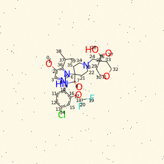 COc1cnn(C2(C(=O)Nc3ccc(Cl)cc3OC(F)F)CCN(CC3(C(=O)O)CCOCC3)CC2)c1C(C)C